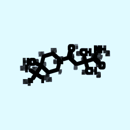 CC(C)(CC(=O)N1CCC(O)(C(F)(F)F)CC1)C(N)=O